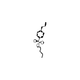 C=CCc1ccc(S(=O)(=O)OCCCC)cc1